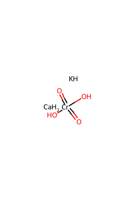 [CaH2].[KH].[O]=[Cr](=[O])([OH])[OH]